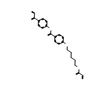 C=CC(=O)OCCCCCOc1ccc(C(=O)Oc2ccc(C(=O)C=C)cc2)cc1